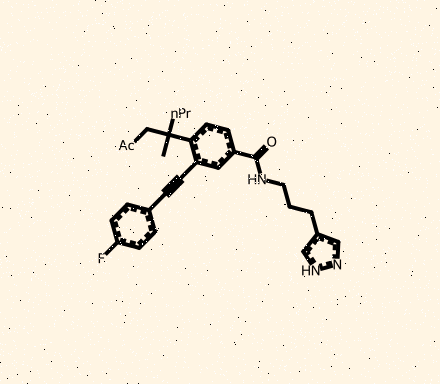 CCCC(C)(CC(C)=O)c1ccc(C(=O)NCCCc2cn[nH]c2)cc1C#Cc1ccc(F)cc1